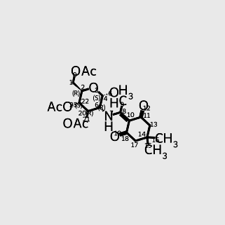 CC(=O)OC[C@H]1O[C@H](O)[C@H](NC(C)=C2C(=O)CC(C)(C)CC2=O)[C@@H](OC(C)=O)[C@@H]1OC(C)=O